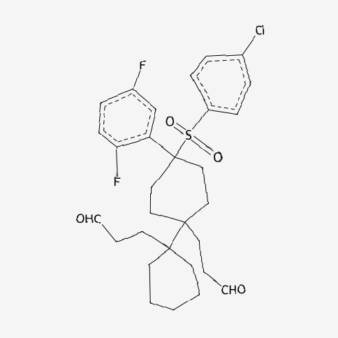 O=CCCC1(C2(CCC=O)CCC(c3cc(F)ccc3F)(S(=O)(=O)c3ccc(Cl)cc3)CC2)CCCCC1